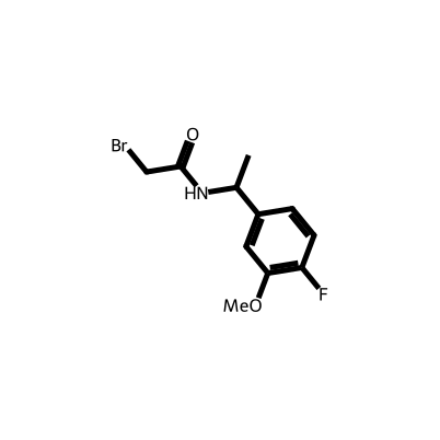 COc1cc(C(C)NC(=O)CBr)ccc1F